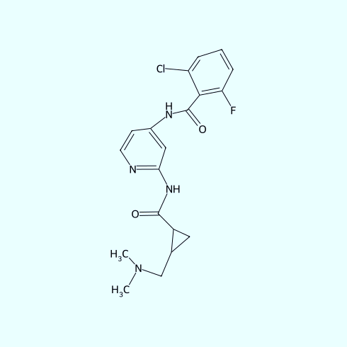 CN(C)CC1CC1C(=O)Nc1cc(NC(=O)c2c(F)cccc2Cl)ccn1